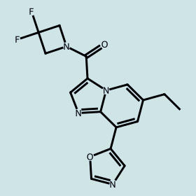 CCc1cc(-c2cnco2)c2ncc(C(=O)N3CC(F)(F)C3)n2c1